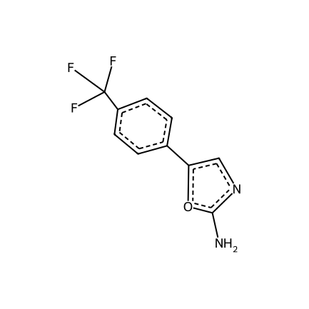 Nc1ncc(-c2ccc(C(F)(F)F)cc2)o1